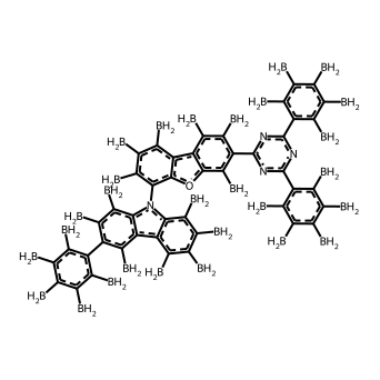 Bc1c(B)c(B)c(-c2nc(-c3c(B)c(B)c(B)c(B)c3B)nc(-c3c(B)c(B)c4c(oc5c(-n6c7c(B)c(B)c(B)c(B)c7c7c(B)c(-c8c(B)c(B)c(B)c(B)c8B)c(B)c(B)c76)c(B)c(B)c(B)c54)c3B)n2)c(B)c1B